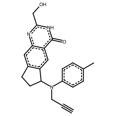 C#CCN(c1ccc(C)cc1)C1CCc2cc3nc(CO)[nH]c(=O)c3cc21